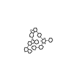 c1ccc(-c2cccc(-c3nc(-c4ccccc4)nc(-c4ccc(-c5cccc6oc7ccc(-n8c9ccccc9c9cc(-c%10cccc%11ccccc%10%11)ccc98)cc7c56)cc4)n3)c2)cc1